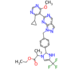 CCOC(=O)C(C)N1C=C(C(F)(F)F)NC1c1ccc(Cn2ncc3cnc(-c4c(OC)ncnc4C4CC4)nc32)cc1